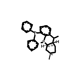 CC1c2cccc(P(c3ccccc3)c3ccccc3)c2P(C)[C@@H]2C[C@H](C)CC[C@@H]12